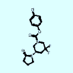 O=C(Oc1ccc(Cl)cc1)N1C[C@H](N2CCCC2=O)CC(F)(F)C1